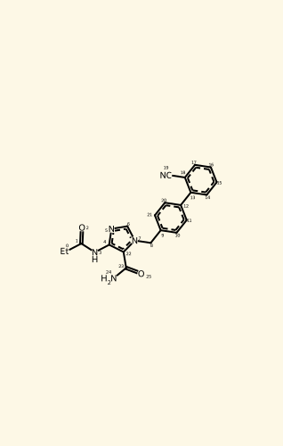 CCC(=O)Nc1ncn(Cc2ccc(-c3ccccc3C#N)cc2)c1C(N)=O